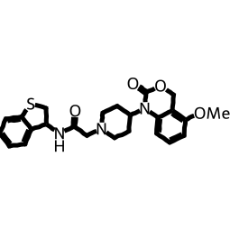 COc1cccc2c1COC(=O)N2C1CCN(CC(=O)NC2CSc3ccccc32)CC1